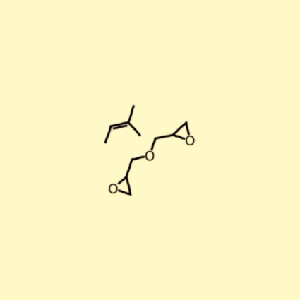 C(OCC1CO1)C1CO1.CC=C(C)C